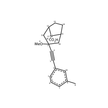 COC1(C#Cc2cccc(C)c2)CC2CCC(C1)N2C(=O)O